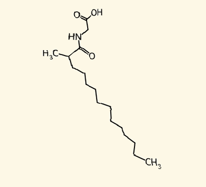 CCCCCCCCCCCCC(C)C(=O)NCC(=O)O